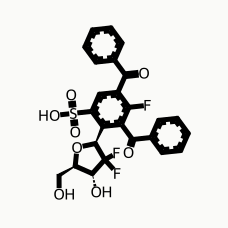 O=C(c1ccccc1)c1cc(S(=O)(=O)O)c([C@@H]2O[C@H](CO)[C@@H](O)C2(F)F)c(C(=O)c2ccccc2)c1F